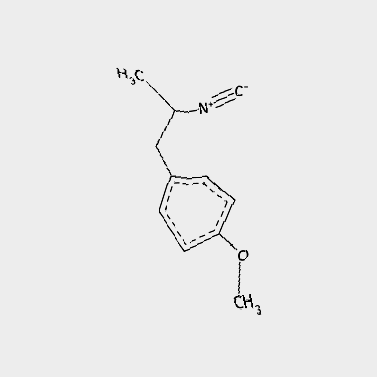 [C-]#[N+]C(C)Cc1ccc(OC)cc1